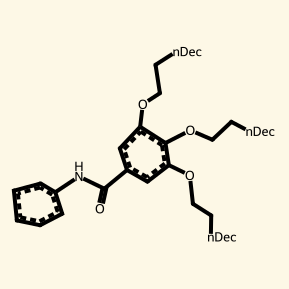 CCCCCCCCCCCCOc1cc(C(=O)Nc2ccccc2)cc(OCCCCCCCCCCCC)c1OCCCCCCCCCCCC